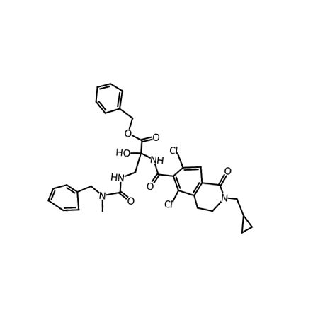 CN(Cc1ccccc1)C(=O)NCC(O)(NC(=O)c1c(Cl)cc2c(c1Cl)CCN(CC1CC1)C2=O)C(=O)OCc1ccccc1